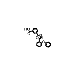 O=C(O)c1cccc(-c2nnc(-c3ccccc3Oc3ccccc3)o2)c1